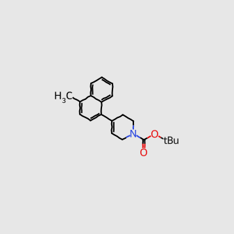 Cc1ccc(C2=CCN(C(=O)OC(C)(C)C)CC2)c2ccccc12